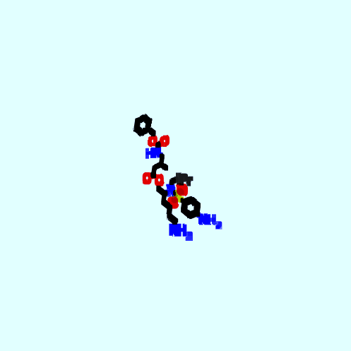 CC(C)CN(C(CCCCN)COC(=O)CC(C)CNC(=O)OCc1ccccc1)S(=O)(=O)c1ccc(N)cc1